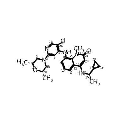 C[C@@H]1CN(c2cc(Nc3cccc4c(N[C@H](C)C5CC5)cc(=O)n(C)c34)c(Cl)cn2)C[C@H](C)O1